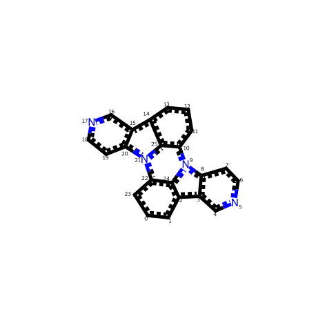 c1cc2c3cnccc3n3c4cccc5c6cnccc6n(c(c1)c23)c54